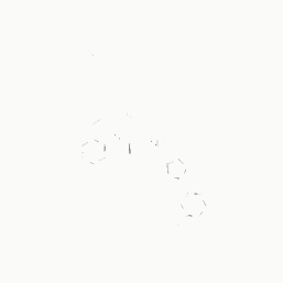 NCCOCCNCC(NCc1ccc(-c2cc(Cl)ccc2Cl)o1)C(=O)Nc1ccccc1C(=O)O